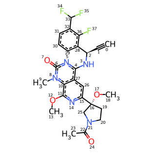 C#C[C@@H](Nc1nc(=O)n(C)c2c(OC)nc([C@@]3(OC)CCN(C(C)=O)C3)cc12)c1cccc(C(F)F)c1F